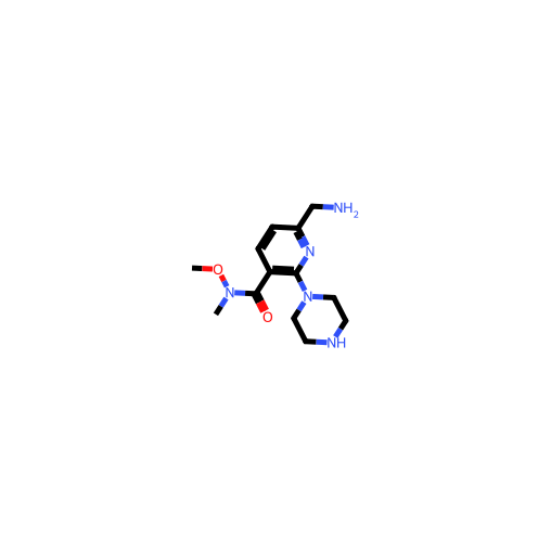 CON(C)C(=O)c1ccc(CN)nc1N1CCNCC1